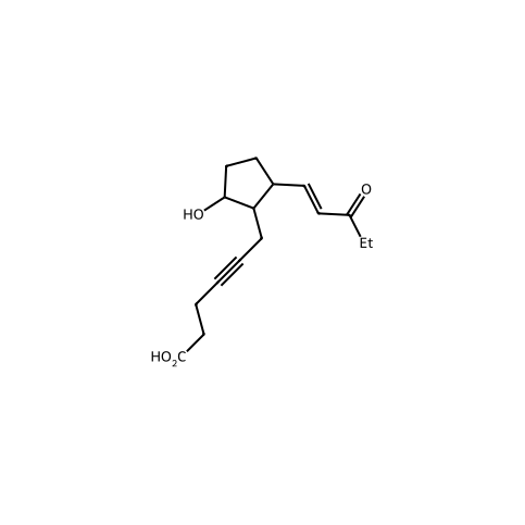 CCC(=O)/C=C/C1CCC(O)C1CC#CCCC(=O)O